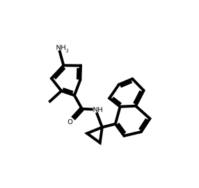 Cc1cc(N)ccc1C(=O)NC1(c2cccc3ccccc23)CC1